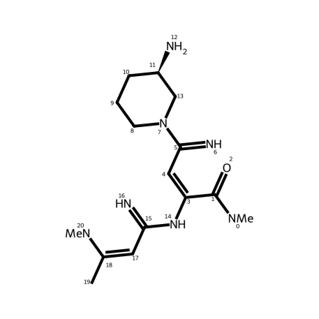 CNC(=O)/C(=C\C(=N)N1CCC[C@@H](N)C1)NC(=N)/C=C(/C)NC